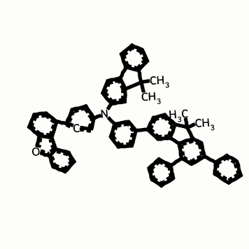 CC1(C)c2ccccc2-c2ccc(N(c3ccc(-c4cccc5oc6ccccc6c45)cc3)c3cccc(-c4ccc5c(c4)-c4c(-c6ccccc6)cc(-c6ccccc6)cc4C5(C)C)c3)cc21